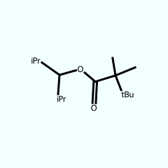 CC(C)C(OC(=O)C(C)(C)C(C)(C)C)C(C)C